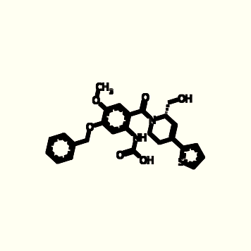 COc1cc(C(=O)N2CCC(c3cccs3)=C[C@H]2CO)c(NC(=O)O)cc1OCc1ccccc1